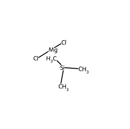 C[Si](C)C.[Cl][Mg][Cl]